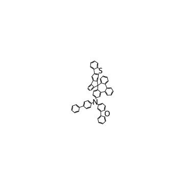 c1ccc(-c2ccc(N(c3ccc4c(c3)-c3ccccc3-c3ccccc3C43c4ccccc4-c4cc5c(cc43)sc3ccccc35)c3ccc4oc5ccccc5c4c3)cc2)cc1